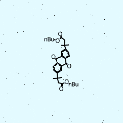 CCCCOC(=O)CC(C)(C)c1ccc2c(c1)C(=O)c1ccc(C(C)(C)CC(=O)OCCCC)cc1C2=O